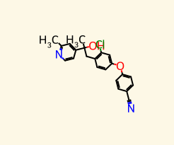 Cc1cc(C(C)(O)Cc2ccc(Oc3ccc(C#N)cc3)cc2Cl)ccn1